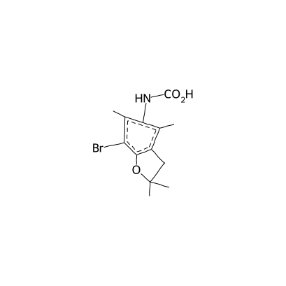 Cc1c(Br)c2c(c(C)c1NC(=O)O)CC(C)(C)O2